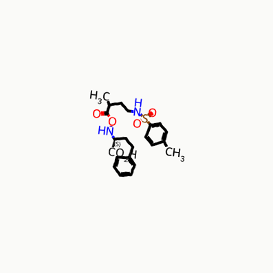 Cc1ccc(S(=O)(=O)NCCC(C)C(=O)ON[C@@H](CCc2ccccc2)C(=O)O)cc1